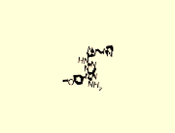 CCOc1ccc(-n2c(N)nc3cnc(Nc4cnn(CCn5cccn5)c4)nc32)cc1